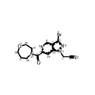 N#CCn1nc(Br)c2cnc(C(=O)N3CCCOCC3)cc21